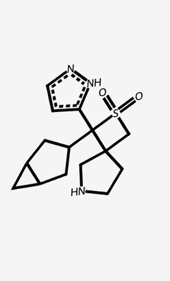 O=S1(=O)CC2(CCNC2)C1(c1ccn[nH]1)C1CC2CC2C1